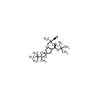 CC(C)(C#N)C[C@@H]1C[C@@H](O[Si](C)(C)C(C)(C)C)CN1C(=O)OC(C)(C)C